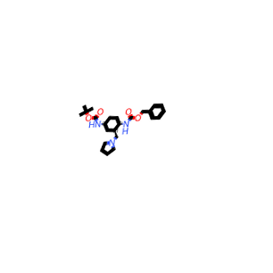 CC(C)(C)OC(=O)N[C@@H]1CC[C@H](NC(=O)OCc2ccccc2)[C@@H](CN2CCCC2)C1